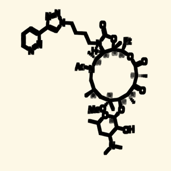 CC[C@H]1OC(=O)[C@H](C)C(=O)[C@H](C)[C@@H](O[C@@H]2OC(C)CC(N(C)C)C2O)[C@](C)(OC)C[C@@H](C)CN(C(C)=O)[C@H](C)[C@H]2N(CCCCn3cc(-c4cccnn4)nn3)C(=O)O[C@]12C